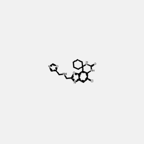 O=C1Nc2c(Cl)cc3nc(CNCc4cnco4)oc3c2C2(CCCCC2)N1